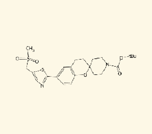 CC(C)(C)OC(=O)N1CCC2(CCc3cc(-c4ncc(CS(C)(=O)=O)s4)ccc3O2)CC1